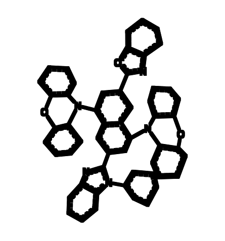 c1ccc(-n2c(-c3cc(N4c5ccccc5Oc5ccccc54)c4cc(-c5nc6ccccc6o5)cc(N5c6ccccc6Oc6ccccc65)c4c3)nc3ccccc32)cc1